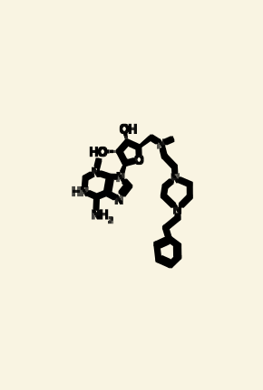 CN(CCN1CCN(CCc2ccccc2)CC1)C[C@H]1O[C@@H](n2cnc3c2N(C)CNC3N)[C@H](O)[C@@H]1O